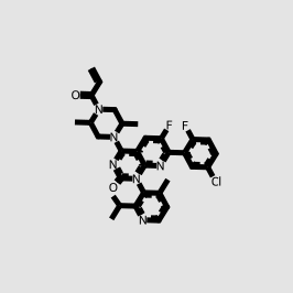 C=CC(=O)N1CC(C)N(c2nc(=O)n(-c3c(C)ccnc3C(C)C)c3nc(-c4cc(Cl)ccc4F)c(F)cc23)CC1C